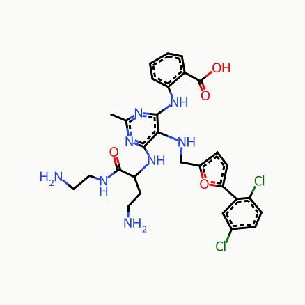 Cc1nc(Nc2ccccc2C(=O)O)c(NCc2ccc(-c3cc(Cl)ccc3Cl)o2)c(NC(CCN)C(=O)NCCN)n1